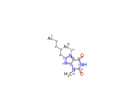 CC(=O)CCCCc1nc2c(c(=O)[nH]c(=O)n2C)n1CC(C)=O